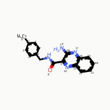 Cc1ccc(CNC(=O)c2nc3ccccc3nc2N)cc1